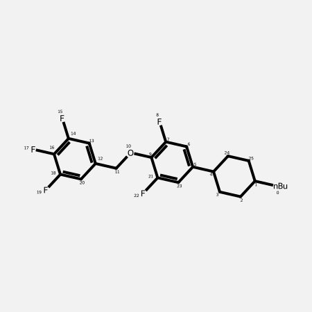 CCCCC1CCC(c2cc(F)c(OCc3cc(F)c(F)c(F)c3)c(F)c2)CC1